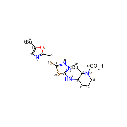 CC(C)(C)c1cnc(CSc2nnc(NC3CCCN(C(=O)O)C3C(C)(C)C)s2)o1